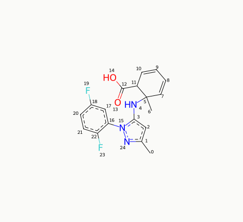 Cc1cc(NC2(C)C=CC=CC2C(=O)O)n(-c2cc(F)ccc2F)n1